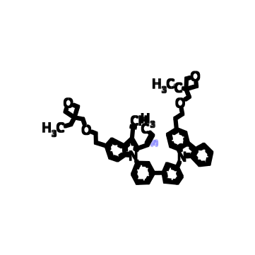 C#Cc1c(/C=C\C)n(-c2cccc(-c3cccc(-n4c5ccccc5c5cc(CCOCC6(CC)COC6)ccc54)c3)c2)c2ccc(CCOCC3(CC)COC3)cc12